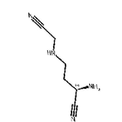 N#CCNCC[C@@H](N)C#N